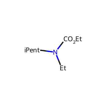 C[CH]CC(C)N(CC)C(=O)OCC